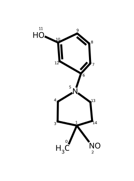 CC1(N=O)CCN(c2cccc(O)c2)CC1